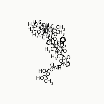 CCC(CO)OC(O)COC(=O)NCCC(=O)N1CCC[C@H]1C(=O)OCC(C)NC(=O)[C@H](Cc1ccccc1)NC(=O)[C@H](C)[C@@H](OC)[C@@H]1CCCN1C(=O)C[C@@H](OC)[C@H]([C@@H](C)CC)N(C)C(=O)[C@@H](NC(=O)[C@H](C(C)C)N(C)C)C(C)C